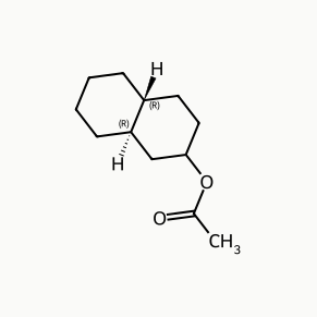 CC(=O)OC1CC[C@H]2CCCC[C@@H]2C1